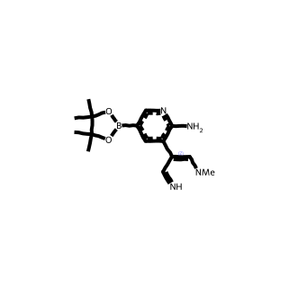 CN/C=C(\C=N)c1cc(B2OC(C)(C)C(C)(C)O2)cnc1N